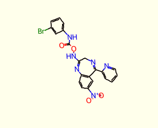 O=C(Nc1cccc(Br)c1)ONC1=Nc2ccc([N+](=O)[O-])cc2C(c2ccccn2)=NC1